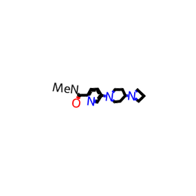 CNC(=O)c1ccc(N2CCC(N3CCC3)CC2)cn1